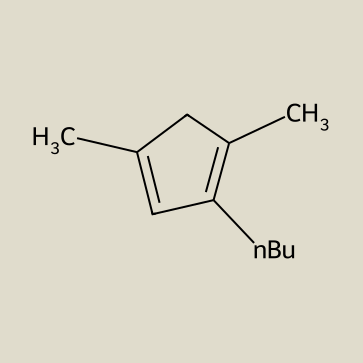 CCCCC1=C(C)CC(C)=C1